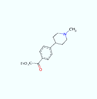 CCOC(=O)C(=O)c1ccc(C2CCN(C)CC2)cc1